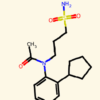 CC(=O)N(CCCS(N)(=O)=O)c1ccccc1C1CCCC1